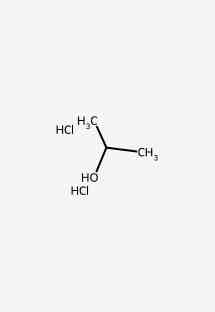 CC(C)O.Cl.Cl